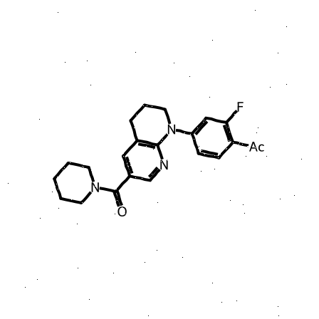 CC(=O)c1ccc(N2CCCc3cc(C(=O)N4CCCCC4)cnc32)cc1F